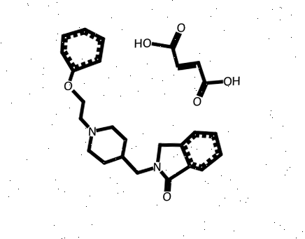 O=C(O)C=CC(=O)O.O=C1c2ccccc2CN1CC1CCN(CCOc2ccccc2)CC1